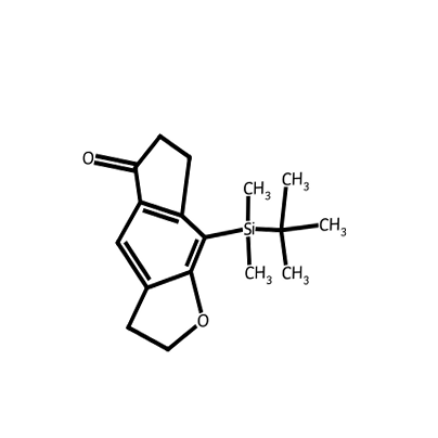 CC(C)(C)[Si](C)(C)c1c2c(cc3c1OCC3)C(=O)CC2